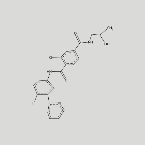 CC(O)CNC(=O)c1ccc(C(=O)Nc2ccc(Cl)c(-c3ccccn3)c2)c(Cl)c1